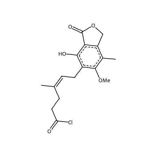 COc1c(C)c2c(c(O)c1CC=C(C)CCC(=O)Cl)C(=O)OC2